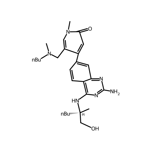 CCCCN(C)Cc1cn(C)c(=O)cc1-c1ccc2c(N[C@@](C)(CO)CCCC)nc(N)nc2c1